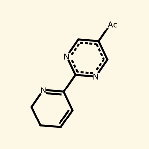 CC(=O)c1cnc(C2=NCCC=C2)nc1